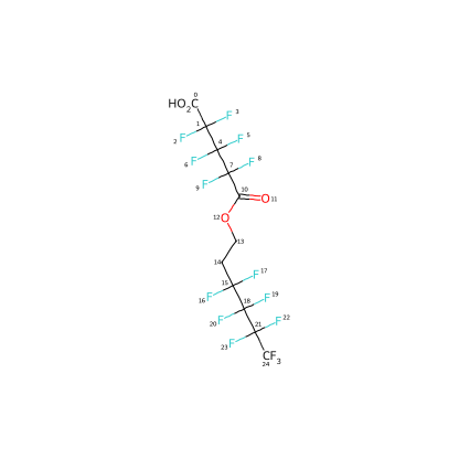 O=C(O)C(F)(F)C(F)(F)C(F)(F)C(=O)OCCC(F)(F)C(F)(F)C(F)(F)C(F)(F)F